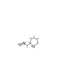 O=NCC1CCCCO1